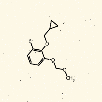 COCOc1cccc(Br)c1OCC1CC1